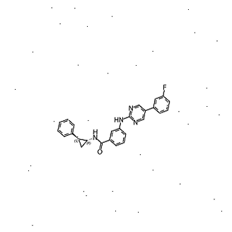 O=C(N[C@@H]1C[C@H]1c1ccccc1)c1cccc(Nc2ncc(-c3cccc(F)c3)cn2)c1